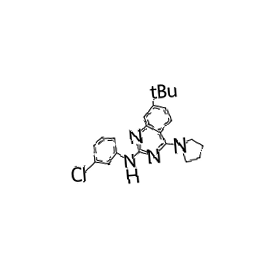 CC(C)(C)c1ccc2c(N3CCCC3)nc(Nc3cccc(Cl)c3)nc2c1